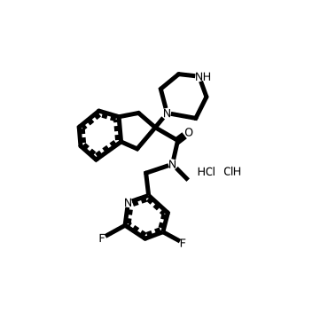 CN(Cc1cc(F)cc(F)n1)C(=O)C1(N2CCNCC2)Cc2ccccc2C1.Cl.Cl